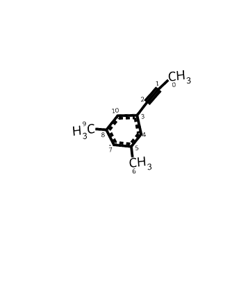 CC#Cc1cc(C)[c]c(C)c1